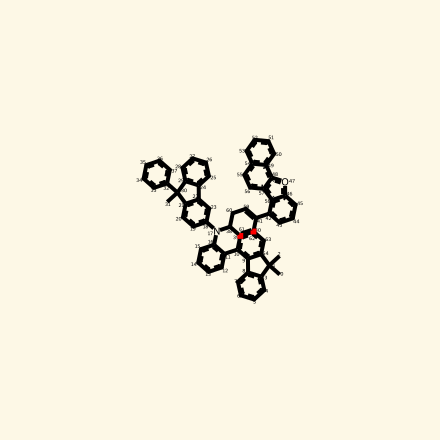 CC1(C)c2ccccc2-c2c(-c3ccccc3N(c3ccc4c(c3)-c3ccccc3C4(C)c3ccccc3)C3C=CC(c4cccc5oc6c7ccccc7ccc6c45)=CC3)cccc21